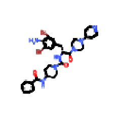 Nc1c(Br)cc(C[C@@H](NC(=O)N2CCC(NC(=O)c3ccccc3)CC2)C(=O)N2CCN(c3ccncc3)CC2)cc1Br